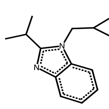 CC(C)c1nc2ccccc2n1CC1CC1